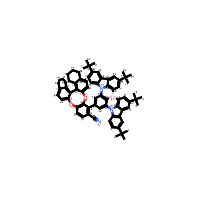 CC(C)(C)c1ccc2c(c1)c1cc(C(C)(C)C)cc3c1n2-c1cc(-c2c(C#N)ccc4oc5ccc6c(c5c5c7c(ccc5oc24)CCCC7)CCCC6)cc2c1B3c1cc(C(C)(C)C)cc3c4cc(C(C)(C)C)ccc4n-2c13